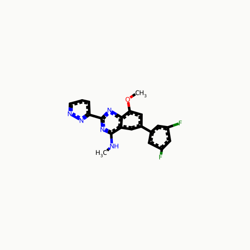 CNc1nc(-c2cccnn2)nc2c(OC)cc(-c3cc(F)cc(F)c3)cc12